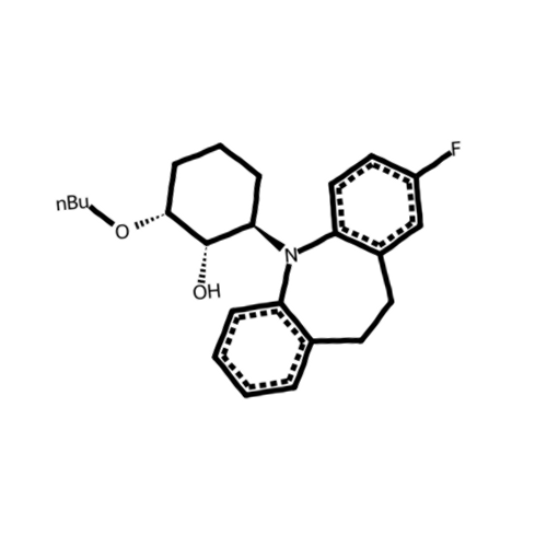 CCCCO[C@@H]1CCC[C@@H](N2c3ccccc3CCc3cc(F)ccc32)[C@@H]1O